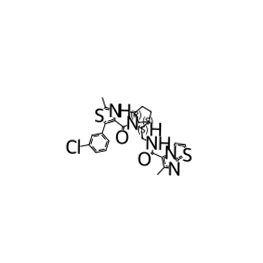 Cc1nc(C(=O)N2[C@@H]3CC[C@@H](C3)[C@H]2CNC(=O)c2c(C)nc3sccn23)c(-c2cccc(Cl)c2)s1